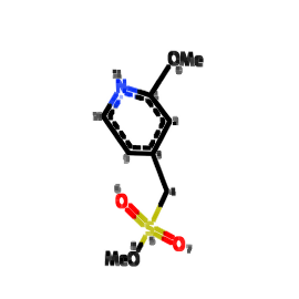 COc1cc(CS(=O)(=O)OC)ccn1